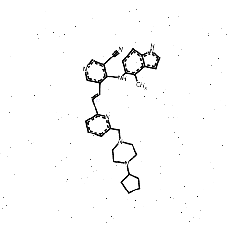 Cc1c(Nc2c(C#N)cncc2/C=C/c2cccc(CN3CCN(C4CCCC4)CC3)n2)ccc2[nH]ccc12